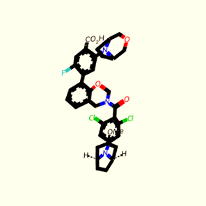 CO[C@H]1C[C@H]2CC[C@@H](C1)N2c1cc(Cl)c(C(=O)N2COc3c(cccc3-c3cc(N4C5CCC4COC5)c(C(=O)O)cc3F)C2)c(Cl)c1